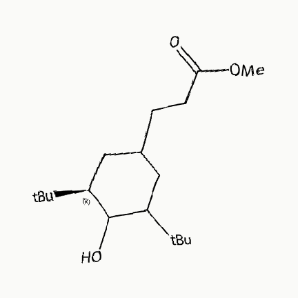 COC(=O)CCC1CC(C(C)(C)C)C(O)[C@@H](C(C)(C)C)C1